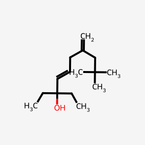 C=C(CC=CC(O)(CC)CC)CC(C)(C)C